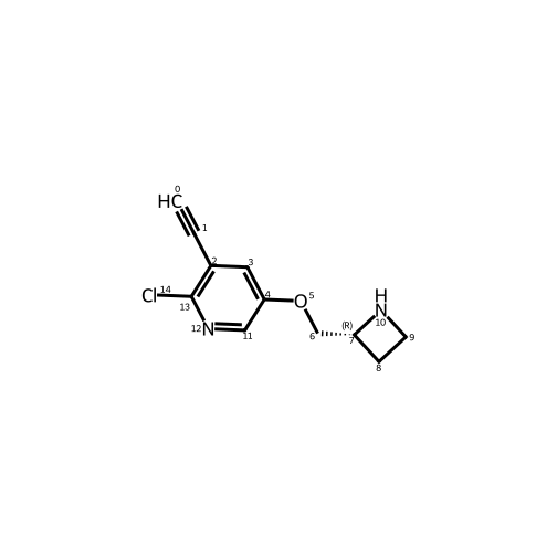 C#Cc1cc(OC[C@H]2CCN2)cnc1Cl